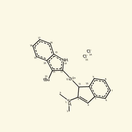 C[SiH](C)C1=Cc2ccccc2[CH]1[Zr+2][c]1[nH]c2ccccc2c1C(C)(C)C.[Cl-].[Cl-]